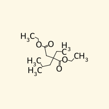 CCOC(=O)CC(CC)(CC(C)C)C(=O)OCC